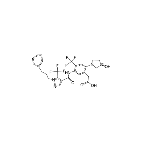 O=C(O)Cc1cc(NC(=O)c2cnn(CCCc3ccccc3)c2C(F)(F)F)c(C(F)(F)F)cc1N1CC[C@@H](O)C1